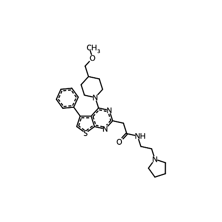 COCC1CCN(c2nc(CC(=O)NCCN3CCCC3)nc3scc(-c4ccccc4)c23)CC1